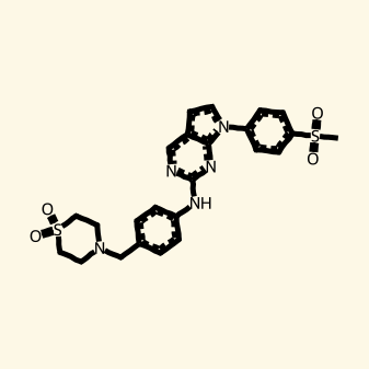 CS(=O)(=O)c1ccc(-n2ccc3cnc(Nc4ccc(CN5CCS(=O)(=O)CC5)cc4)nc32)cc1